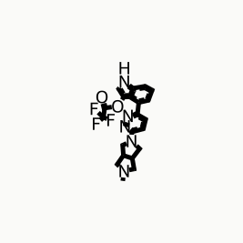 CN1CC2CN(c3ccc(-c4cccc5[nH]cc(OC(=O)C(F)(F)F)c45)nn3)CC2C1